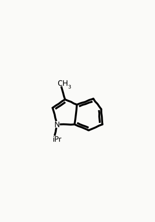 Cc1cn(C(C)C)c2ccccc12